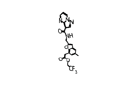 Cc1cc(CC(=O)OCC(F)(F)F)c2oc(CNC(=O)c3cnn4cccnc34)cc2c1